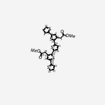 COC(=O)Cc1cc(-c2cccs2)sc1-c1ccc(-c2sc(-c3cccs3)cc2CC(=O)OC)s1